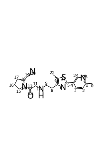 Cc1ccc(-c2nc(CCNCC(=O)N3CCCC3C#N)c(C)s2)cn1